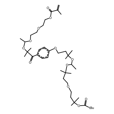 C=C(C)C(=O)OCCOCCOC(C)OC(C)(C)C(=O)c1ccc(OCCC(C)(C)OC(C)OC(C)(C)CCOCCC(C)(C)OC(=O)C(C)(C)C)cc1